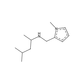 CC(C)CC(C)NCc1cccn1C